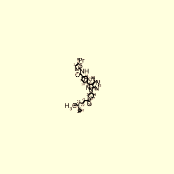 CC(C)c1cnc(NC(=O)c2ccc(-c3nn([C@@H]4CCN(C(=O)C=CCN(C)C5CC5)C4)c4ncnc(N)c34)cc2)s1